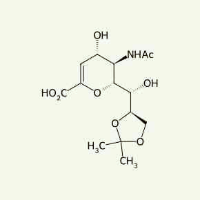 CC(=O)N[C@H]1[C@H]([C@H](O)[C@H]2COC(C)(C)O2)OC(C(=O)O)=C[C@@H]1O